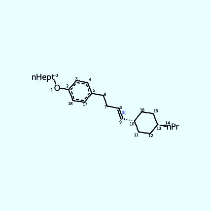 CCCCCCCOc1ccc(CC/C=C/[C@H]2CC[C@H](CCC)CC2)cc1